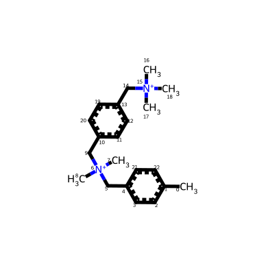 Cc1ccc(C[N+](C)(C)Cc2ccc(C[N+](C)(C)C)cc2)cc1